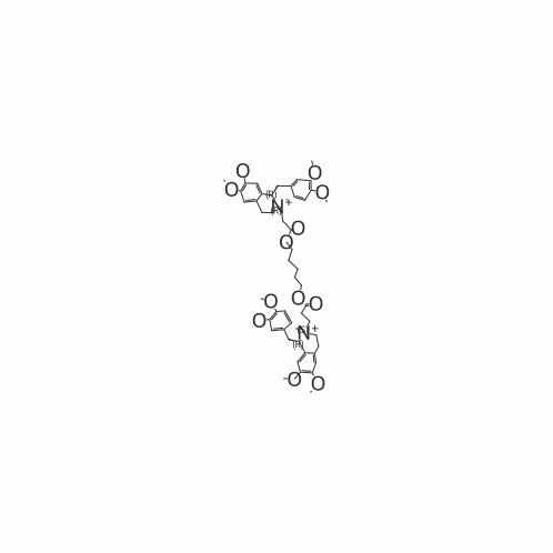 COc1ccc(C[C@@H]2c3cc(OC)c(OC)cc3CC[N@+]2(C)CCC(=O)OCCCCCOC(=O)CC[N@+]2(C)CCc3cc(OC)c(OC)cc3[C@H]2Cc2ccc(OC)c(OC)c2)cc1OC